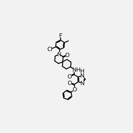 Cc1cc(N2CCCC3(CCC(NC(=O)c4[nH]cnc4C(=O)Oc4ccccc4)CC3)C2=O)c(Cl)cc1F